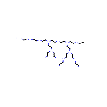 NCCNCCNCCN(CCNCCN(CCNCCN)CCN(CCNCCN)CCNCCN)CCN(CCN)CCN